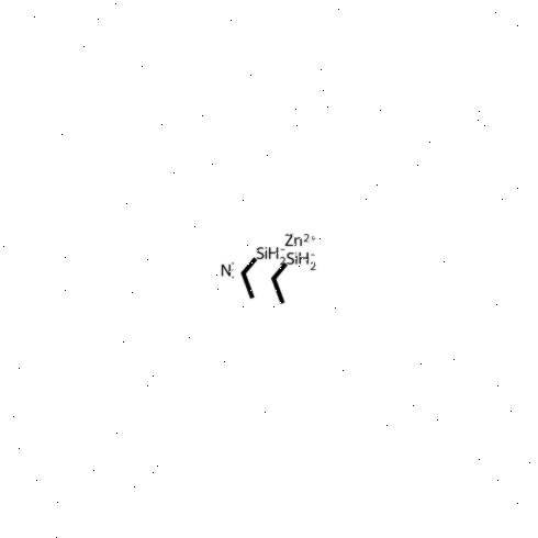 CC[SiH2-].CC[SiH2-].[N].[Zn+2]